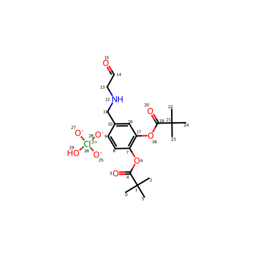 CC(C)(C)C(=O)Oc1ccc(CNCC=O)cc1OC(=O)C(C)(C)C.[O-][Cl+3]([O-])([O-])O